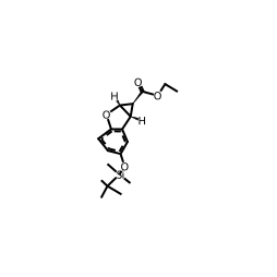 CCOC(=O)[C@@H]1[C@H]2Oc3ccc(O[Si](C)(C)C(C)(C)C)cc3[C@H]21